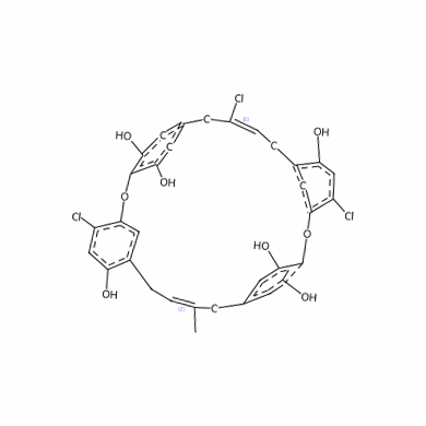 C/C1=C/Cc2cc(c(Cl)cc2O)Oc2c(O)cc(cc2O)C/C(Cl)=C\Cc2cc(c(Cl)cc2O)Oc2c(O)cc(cc2O)C1